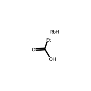 CCC(=O)O.[RbH]